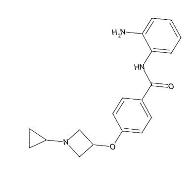 Nc1ccccc1NC(=O)c1ccc(OC2CN(C3CC3)C2)cc1